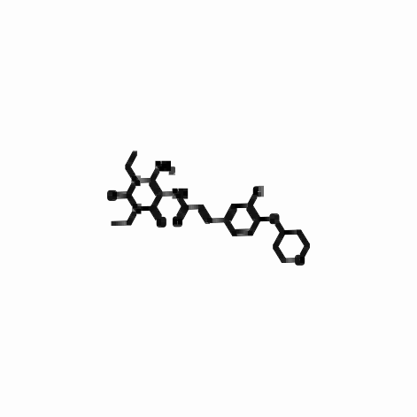 CCn1c(N)c(NC(=O)/C=C/c2ccc(OC3CCOCC3)c(Cl)c2)c(=O)n(CC)c1=O